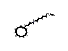 CCCCCCCCCCCCCCC/N=N/CCSC1CCCCCCCCCC1